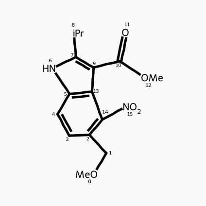 COCc1ccc2[nH]c(C(C)C)c(C(=O)OC)c2c1[N+](=O)[O-]